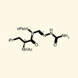 CCCCCN(/C=N/NC(N)=O)C(=O)[C@H](CC(C)C)NC(C)=O